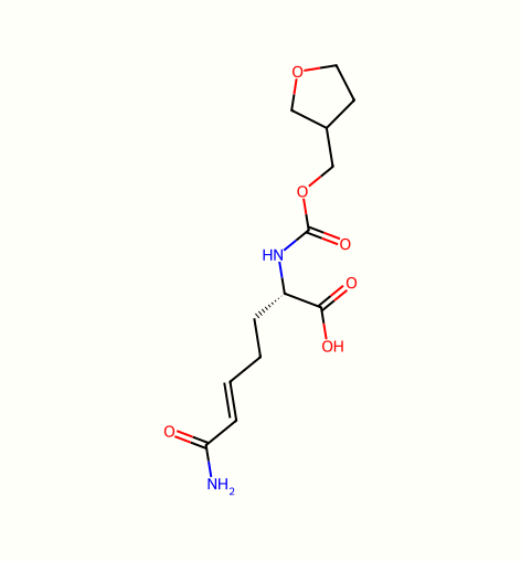 NC(=O)/C=C/CC[C@H](NC(=O)OCC1CCOC1)C(=O)O